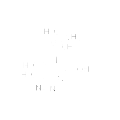 Cc1cc(OC(C)(C)C)ccc1-c1c(C)ncnc1N1CC(O)C1